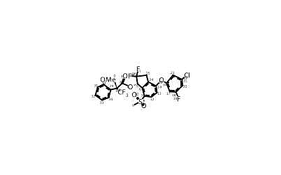 CO[C@](C(=O)O[C@H]1c2c(S(C)(=O)=O)ccc(Oc3cc(F)cc(Cl)c3)c2CC1(F)F)(c1ccccc1)C(F)(F)F